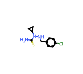 NC(=S)N(NCc1ccc(Cl)cc1)C1CC1